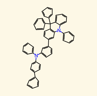 c1ccc(-c2ccc(N(c3ccccc3)c3cccc(-c4ccc5c(c4)N(c4ccccc4)c4ccccc4C5(c4ccccc4)c4ccccc4)c3)cc2)cc1